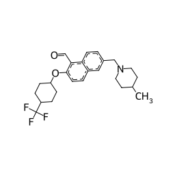 CC1CCN(Cc2ccc3c(C=O)c(OC4CCC(C(F)(F)F)CC4)ccc3c2)CC1